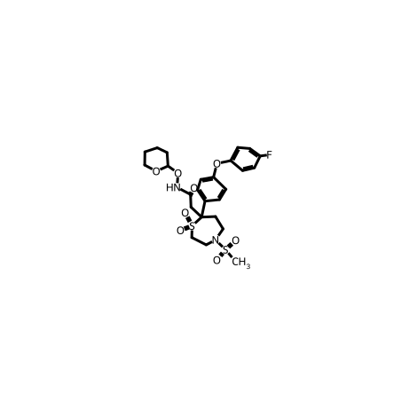 CS(=O)(=O)N1CCC(CC(=O)NOC2CCCCO2)(c2ccc(Oc3ccc(F)cc3)cc2)S(=O)(=O)CC1